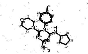 Cc1ccc(N2C(N3CCOCC3)=NC(N)=NC2NC2CCCC2)cc1